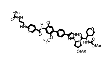 COC(=O)N[C@H](C(=O)N1C[C@H](OC)C[C@H]1c1nc(-c2ccc(-c3cc(Cl)c(NC(=O)c4ccc(NCCNC(=O)C(C)(C)C)nc4)cc3OC(F)(F)F)cc2)c[nH]1)C1CCOCC1